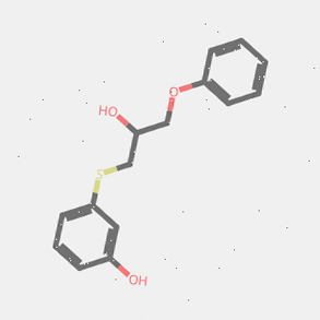 Oc1cccc(SCC(O)COc2ccccc2)c1